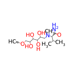 C#COCC(O)C(O)C(O)C(O)CN(C)C(C(N)=O)C(C)C